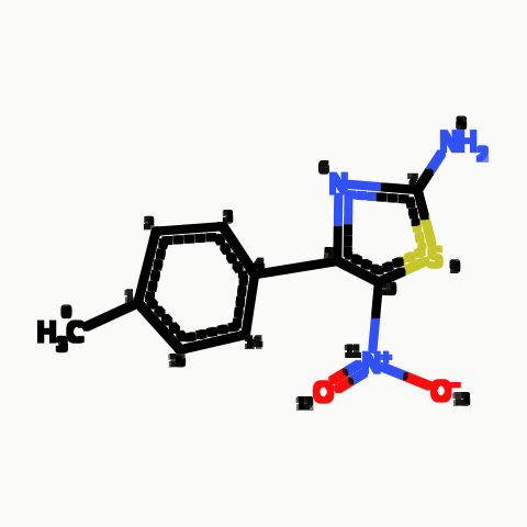 Cc1ccc(-c2nc(N)sc2[N+](=O)[O-])cc1